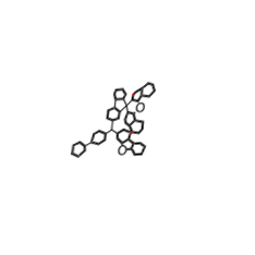 c1ccc(-c2ccc(C(c3ccc4c(c3)C3(c5ccccc5-4)c4ccc5ccccc5c4Oc4c3ccc3ccccc43)c3ccc4c(c3)oc3ccccc34)cc2)cc1